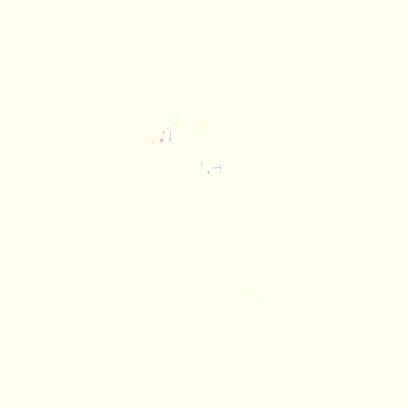 CSCCCCCCCCCCNC1CCC([N+](=O)[O-])C(C(F)(F)F)C1